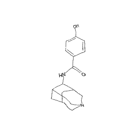 O=C(NC1C2CC3CC1CN(C3)C2)c1ccc(O)cc1